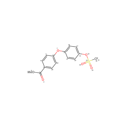 COC(=O)c1ccc(Oc2ccc(OS(=O)(=O)C(F)(F)F)cc2)cc1